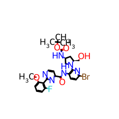 COc1cccc(F)c1-c1nccc(C(=O)Nc2ccc(Br)nc2N2C[C@@H](NC(=O)OC(C)(C)C)C[C@H]2CO)n1